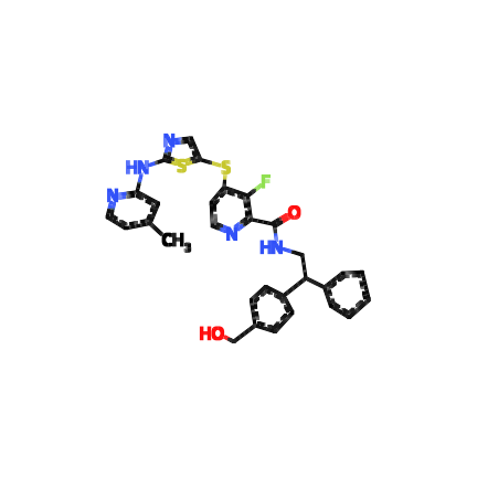 Cc1ccnc(Nc2ncc(Sc3ccnc(C(=O)NCC(c4ccccc4)c4ccc(CO)cc4)c3F)s2)c1